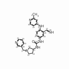 Cc1cc(Nc2cnc(NC(=O)NC3CCN(Cc4cccnc4)C3)cc2C=N)ccn1